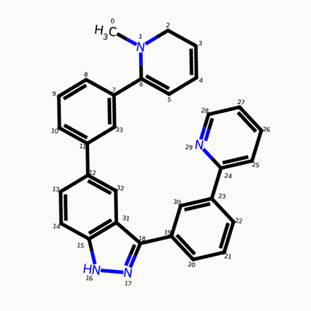 CN1CC=CC=C1c1cccc(-c2ccc3[nH]nc(-c4cccc(-c5ccccn5)c4)c3c2)c1